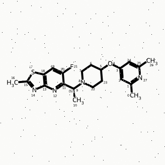 Cc1cc(OC2CCN([C@@H](C)c3nc4nc(C)sc4cc3F)CC2)cc(C)n1